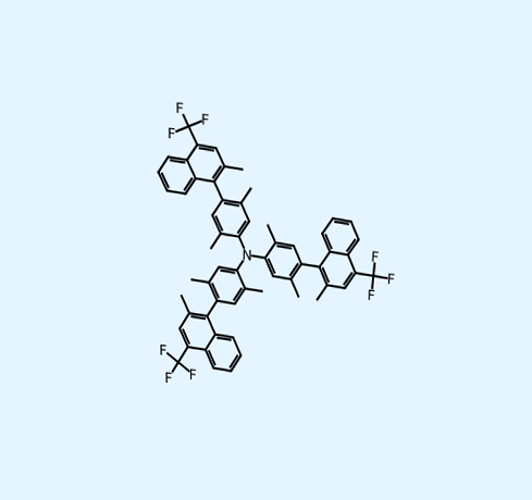 Cc1cc(N(c2cc(C)c(-c3c(C)cc(C(F)(F)F)c4ccccc34)cc2C)c2cc(C)c(-c3c(C)cc(C(F)(F)F)c4ccccc34)cc2C)c(C)cc1-c1c(C)cc(C(F)(F)F)c2ccccc12